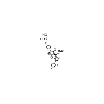 CO[C@H](C)[C@@H](c1ncc(-c2ccc(I)cc2F)[nH]1)N1C(=O)NC(c2ccc(OCC(O)CO)cc2)C1=O